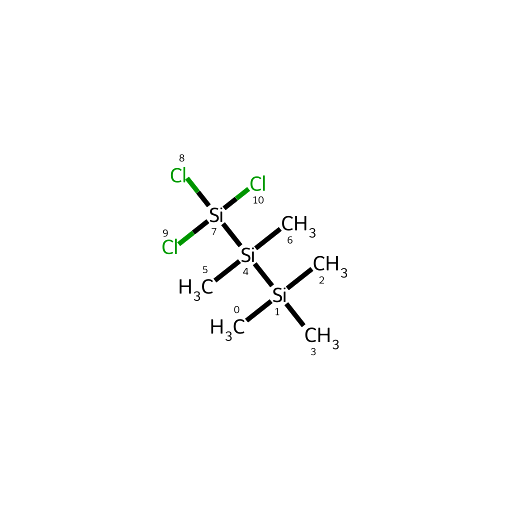 C[Si](C)(C)[Si](C)(C)[Si](Cl)(Cl)Cl